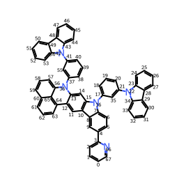 c1ccc(-c2ccc3c(c2)c2cc4c(cc2n3-c2cccc(-n3c5ccccc5c5ccccc53)c2)N(c2cccc(-n3c5ccccc5c5ccccc53)c2)c2cccc3cccc-4c23)nc1